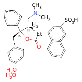 CCC(=O)O[C@](Cc1ccccc1)(c1ccccc1)[C@H](C)CN(C)C.O.O.O=S(=O)(O)c1ccc2ccccc2c1